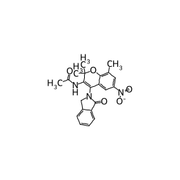 CC(=O)NC1=C(N2Cc3ccccc3C2=O)c2cc([N+](=O)[O-])cc(C)c2OC1(C)C